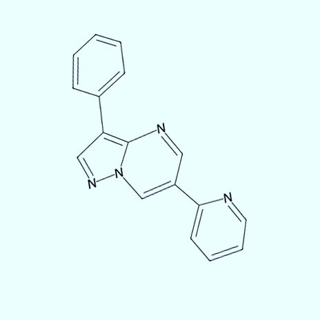 c1ccc(-c2cnn3cc(-c4ccccn4)cnc23)cc1